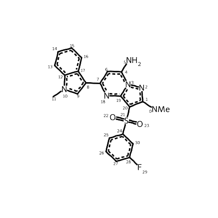 CNc1nn2c(N)cc(-c3cn(C)c4ccccc34)nc2c1S(=O)(=O)c1cccc(F)c1